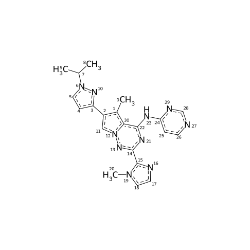 Cc1c(-c2ccn(C(C)C)n2)cn2nc(-c3nccn3C)nc(Nc3ccncn3)c12